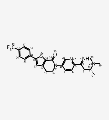 C[C@H](CC(=N)c1ccc(N2CCc3cc(-c4ccc(C(F)(F)F)cc4)sc3C2=O)cn1)N(C)C